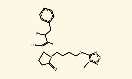 Cn1nnnc1SCCCCN1C(=O)CC[C@@H]1/C(O)=C(\F)C(F)Cc1ccccc1